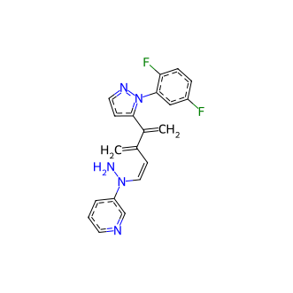 C=C(/C=C\N(N)c1cccnc1)C(=C)c1ccnn1-c1cc(F)ccc1F